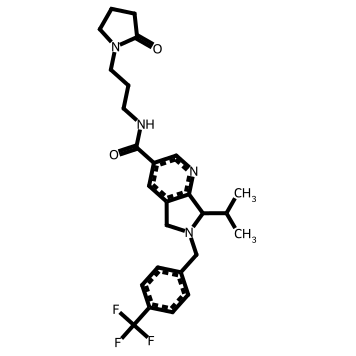 CC(C)C1c2ncc(C(=O)NCCCN3CCCC3=O)cc2CN1Cc1ccc(C(F)(F)F)cc1